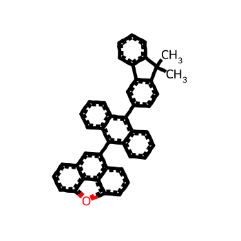 CC1(C)c2ccccc2-c2cc(-c3c4ccccc4c(-c4cc5cccc6oc7cccc4c7c56)c4ccccc34)ccc21